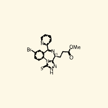 COC(=O)CC[C@@H]1N=C(c2ccccn2)c2cc(Br)ccc2-n2c1n[nH]c2=S